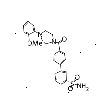 COc1ccccc1N1CCN(C(=O)c2ccc(-c3cccc(S(N)(=O)=O)c3)cc2)CC1